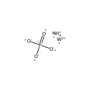 O=P([O-])([O-])[O-].[NH4+].[W+2]